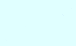 CC(C)(C)CCOCCOC(=O)NC(C)(C)C